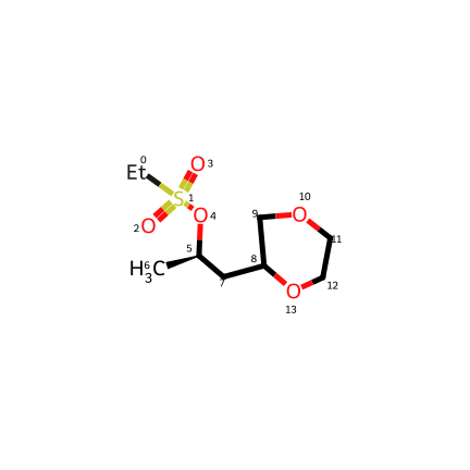 CCS(=O)(=O)O[C@H](C)CC1COCCO1